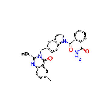 CCCCc1nc2ccc(C)cc2c(=O)n1Cc1ccc2c(ccn2C(=O)c2ccccc2C(N)=O)c1